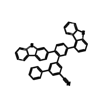 N#Cc1cc(-c2ccccc2)cc(-c2cc(-c3cccc4sc5ccccc5c34)ccc2-c2ccc3c(c2)sc2ccccc23)c1